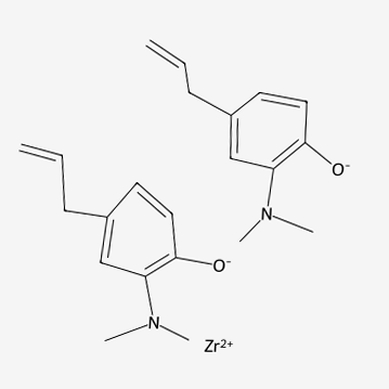 C=CCc1ccc([O-])c(N(C)C)c1.C=CCc1ccc([O-])c(N(C)C)c1.[Zr+2]